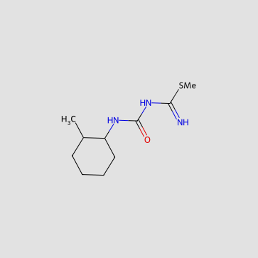 CSC(=N)NC(=O)NC1CCCCC1C